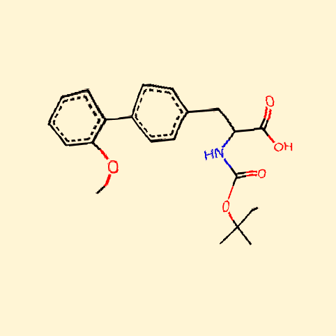 COc1ccccc1-c1ccc(CC(NC(=O)OC(C)(C)C)C(=O)O)cc1